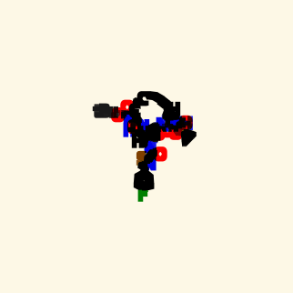 CC(C)(C)OC(=O)N[C@@H]1CCCCC/C=C\[C@H]2C[C@@]2(C(=O)NS(=O)(=O)C2CC2)NC(=O)[C@@H]2[C@H]3CN(C(=O)c4nc(-c5ccc(F)cc5)cs4)C[C@H]3CN2C1=O